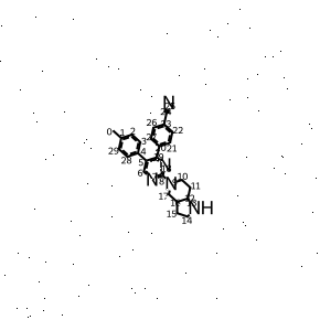 Cc1ccc(-c2cnc(N3CCC4NCCC4C3)nc2-c2ccc(C#N)cc2)cc1